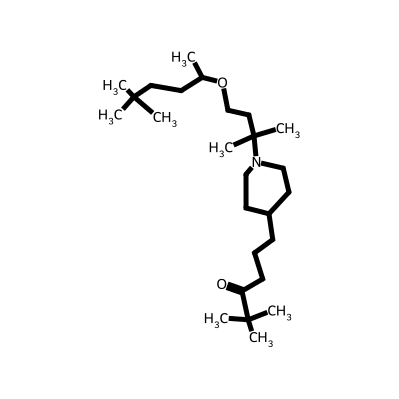 CC(CCC(C)(C)C)OCCC(C)(C)N1CCC(CCCC(=O)C(C)(C)C)CC1